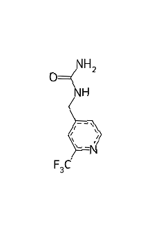 NC(=O)NCc1ccnc(C(F)(F)F)c1